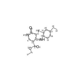 CCOC(=O)c1cn(C)c(=O)cc1Nc1ccc(CC)cc1F